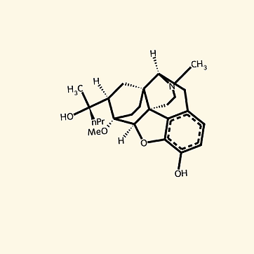 CCC[C@](C)(O)[C@H]1C[C@@]23CC[C@@]1(OC)[C@@H]1Oc4c(O)ccc5c4[C@@]12CCN(C)[C@@H]3C5